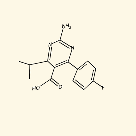 CC(C)c1nc(N)nc(-c2ccc(F)cc2)c1C(=O)O